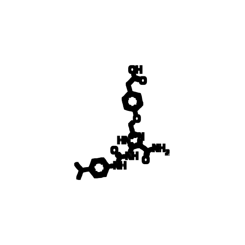 CC(C)c1ccc(NC(=O)Nc2[nH]c(COc3ccc(CC(=O)O)cc3)nc2C(N)=O)cc1